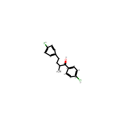 N#CC(CCc1ccc(F)cc1)C(=O)c1ccc(Cl)cc1